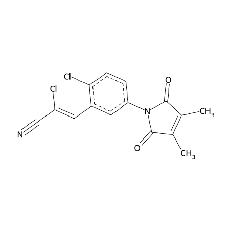 CC1=C(C)C(=O)N(c2ccc(Cl)c(C=C(Cl)C#N)c2)C1=O